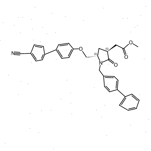 COC(=O)C[C@@H]1C[C@@H](COc2ccc(-c3ccc(C#N)cc3)cc2)N(Cc2ccc(-c3ccccc3)cc2)C1=O